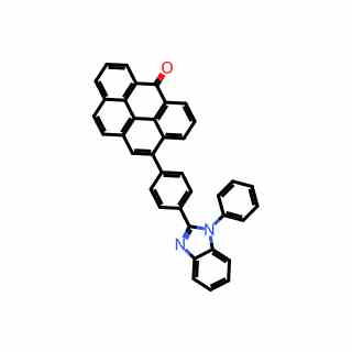 O=C1c2cccc3ccc4cc(-c5ccc(-c6nc7ccccc7n6-c6ccccc6)cc5)c5cccc1c5c4c23